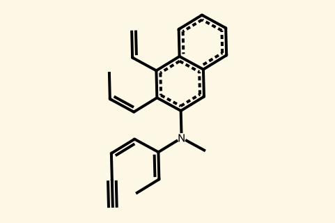 C#C/C=C\C(=C/C)N(C)c1cc2ccccc2c(C=C)c1/C=C\C